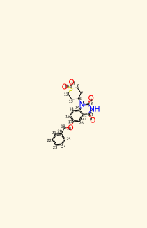 O=c1[nH]c(=O)n(C2CCS(=O)(=O)CC2)c2ccc(OCc3ccccc3)cc12